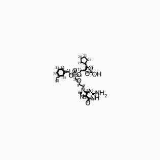 Nc1nc2c(ncn2CCOCP(=O)(OCC2=C(C3CCCC3)OC(O)O2)OCc2cccc(F)c2)c(=O)[nH]1